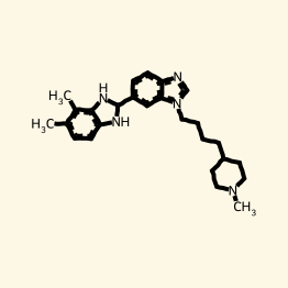 Cc1ccc2c(c1C)NC(c1ccc3ncn(CCCCC4CCN(C)CC4)c3c1)N2